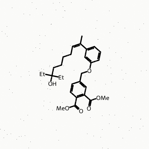 CCC(O)(CC)CCCC/C=C(/C)c1cccc(OCc2ccc(C(=O)OC)c(C(=O)OC)c2)c1